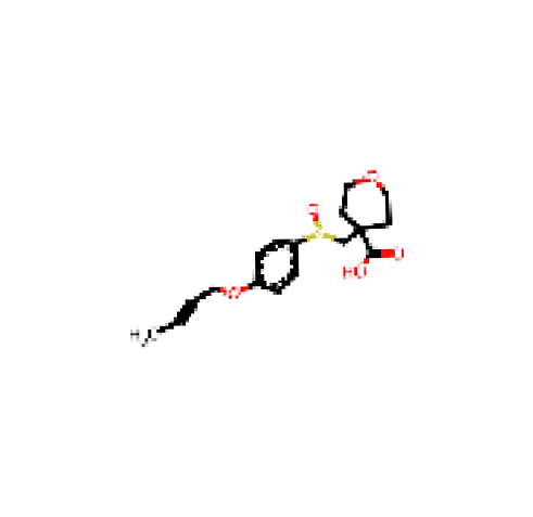 CC#CCOc1ccc([S+]([O-])CC2(C(=O)O)CCOCC2)cc1